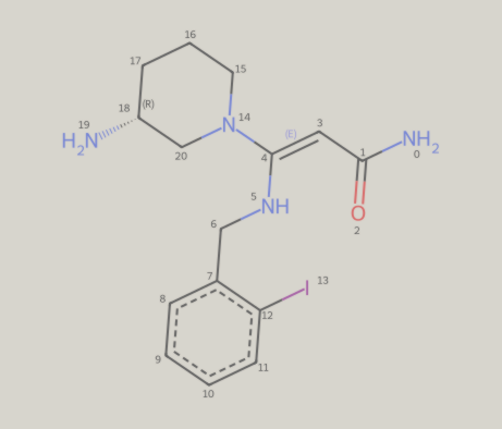 NC(=O)/C=C(\NCc1ccccc1I)N1CCC[C@@H](N)C1